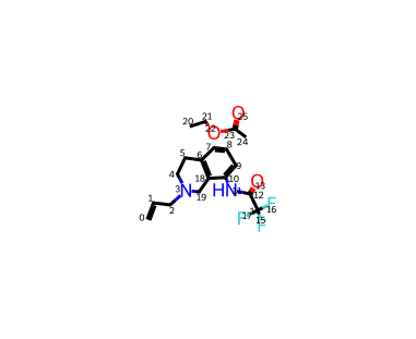 C=CCN1CCc2cccc(NC(=O)C(F)(F)F)c2C1.CCOC(C)=O